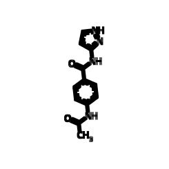 CC(=O)Nc1ccc(C(=O)Nc2cc[nH]n2)cc1